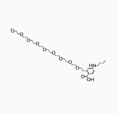 CCCCNc1ccc(C(=O)O)c(CCOCCOCCOCCOCCOCCOCCOCCOCCOC)c1